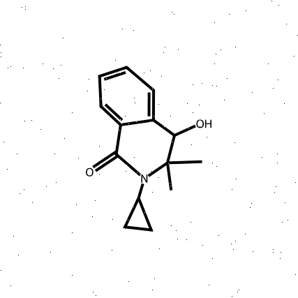 CC1(C)C(O)c2ccccc2C(=O)N1C1CC1